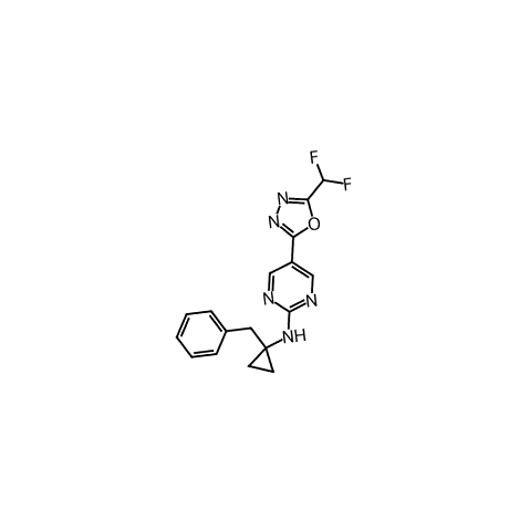 FC(F)c1nnc(-c2cnc(NC3(Cc4ccccc4)CC3)nc2)o1